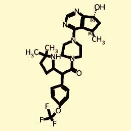 C[C@@H]1C[C@@H](O)c2ncnc(N3CCN(C(=O)C(c4ccc(OC(F)(F)F)cc4)C4CCC(C)(C)N4)CC3)c21